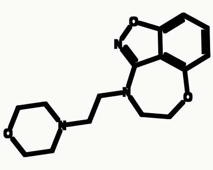 c1cc2c3c(noc3c1)N(CCN1CCOCC1)CCO2